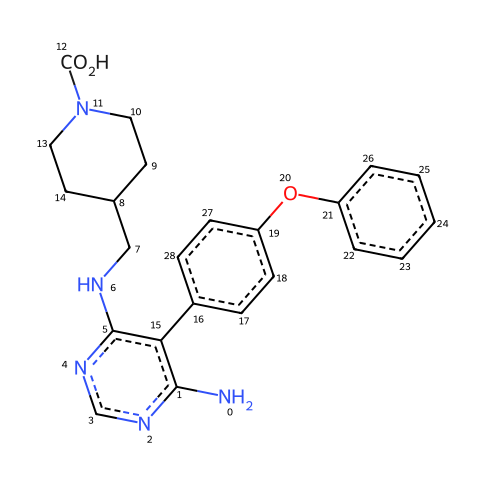 Nc1ncnc(NCC2CCN(C(=O)O)CC2)c1-c1ccc(Oc2ccccc2)cc1